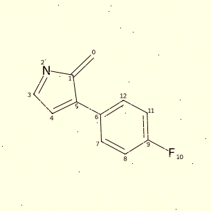 C=C1N=CC=C1c1ccc(F)cc1